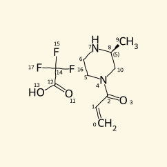 C=CC(=O)N1CCN[C@@H](C)C1.O=C(O)C(F)(F)F